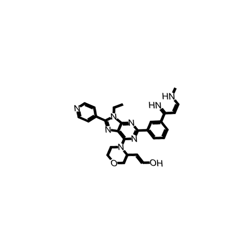 CCn1c(-c2ccncc2)nc2c(N3CCOCC3/C=C/O)nc(-c3cccc(C(=N)/C=C\NC)c3)nc21